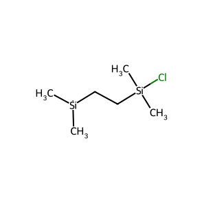 C[Si](C)CC[Si](C)(C)Cl